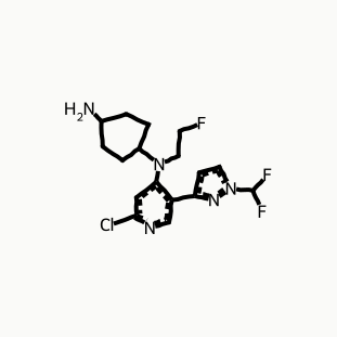 NC1CCC(N(CCF)c2cc(Cl)ncc2-c2ccn(C(F)F)n2)CC1